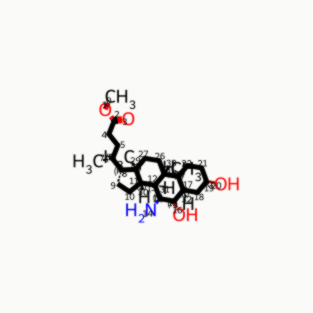 COC(=O)CC[C@@H](C)[C@H]1CC[C@H]2[C@@H]3[C@H](N)[C@H](O)[C@@H]4C[C@H](O)CC[C@]4(C)[C@H]3CC[C@]12C